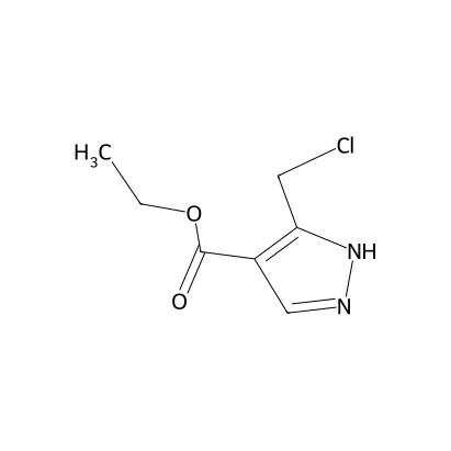 CCOC(=O)c1cn[nH]c1CCl